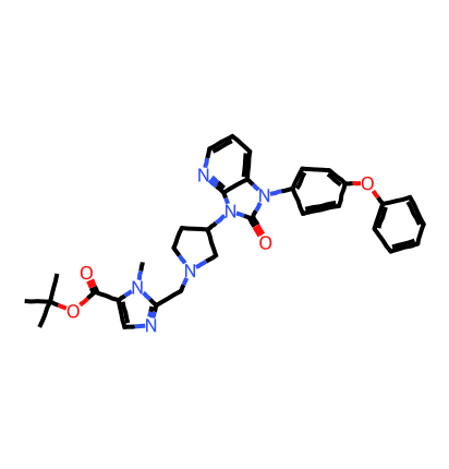 Cn1c(C(=O)OC(C)(C)C)cnc1CN1CCC(n2c(=O)n(-c3ccc(Oc4ccccc4)cc3)c3cccnc32)C1